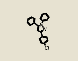 Clc1ccc(-c2[c]c(-c3ccccc3)n(-c3ccccc3)n2)cc1